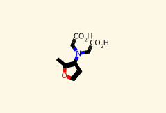 Cc1occc1N(CC(=O)O)CC(=O)O